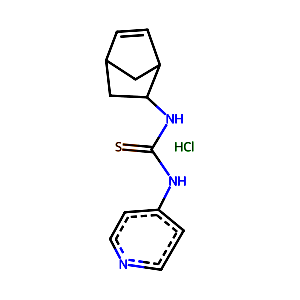 Cl.S=C(Nc1ccncc1)NC1CC2C=CC1C2